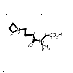 CN(CC(=O)O)C(=O)/C=C/CN1CCC1